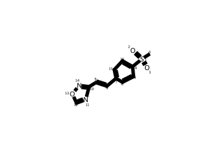 CS(=O)(=O)c1ccc(C=Cc2ncon2)cc1